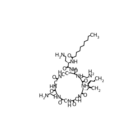 C=C/C=C\C(=C)C[C@H]1NC(=O)[C@H](CCN)NC(=O)[C@@H](NC(=O)[C@@H](CCN)NC(=O)CCCCCCCCC)CCNC(=O)CNC(=O)[C@H](CCN)NC(=O)CNC(=O)CNC1=O